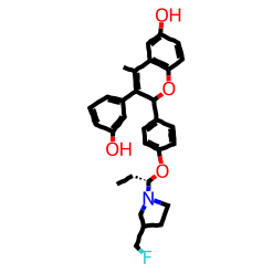 CC[C@H](Oc1ccc(C2Oc3ccc(O)cc3C(C)=C2c2cccc(O)c2)cc1)N1CCC(CF)C1